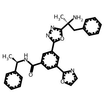 C[C@@H](NC(=O)c1cc(-c2ncco2)cc(-c2nnc([C@@](C)(N)Cc3ccccc3)o2)c1)c1ccccc1